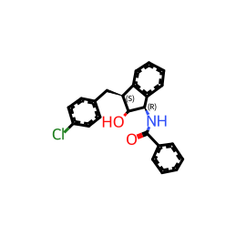 O=C(N[C@@H]1c2ccccc2[C@H](Cc2ccc(Cl)cc2)C1O)c1ccccc1